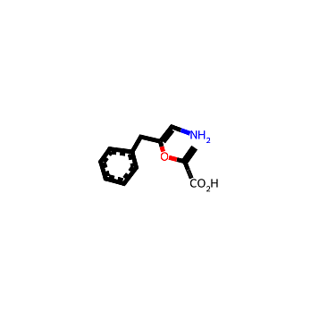 C=C(O/C(=C\N)Cc1ccccc1)C(=O)O